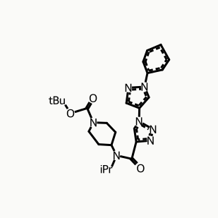 CC(C)N(C(=O)c1cn(-c2cnn(-c3ccccc3)c2)nn1)C1CCN(C(=O)OC(C)(C)C)CC1